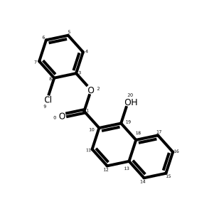 O=C(Oc1ccccc1Cl)c1ccc2ccccc2c1O